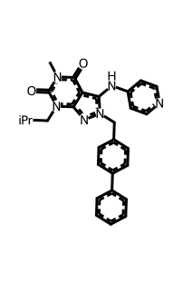 CC(C)Cn1c(=O)n(C)c(=O)c2c(Nc3ccncc3)n(Cc3ccc(-c4ccccc4)cc3)nc21